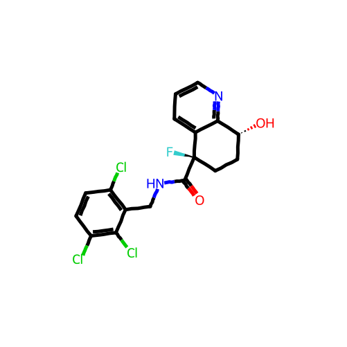 O=C(NCc1c(Cl)ccc(Cl)c1Cl)[C@@]1(F)CC[C@@H](O)c2ncccc21